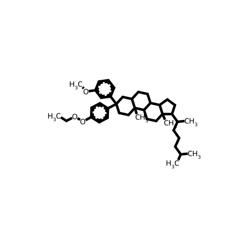 CCOOc1ccc(C2(c3cccc(OC)c3)CCC3(C)C(CCC4C3CCC3(C)C(C(C)CCCC(C)C)CCC43)C2)cc1